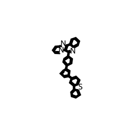 c1cc(-c2ccc(-c3nc4ccccc4c4nc5ccccn5c34)cc2)cc(-c2ccc3sc4ccccc4c3c2)c1